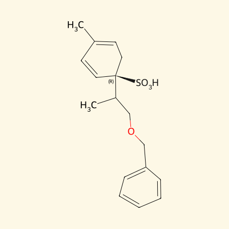 CC1=CC[C@@](C(C)COCc2ccccc2)(S(=O)(=O)O)C=C1